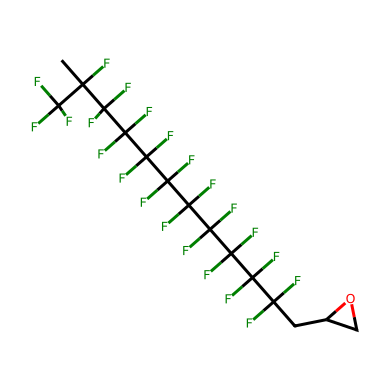 CC(F)(C(F)(F)F)C(F)(F)C(F)(F)C(F)(F)C(F)(F)C(F)(F)C(F)(F)C(F)(F)C(F)(F)C(F)(F)CC1CO1